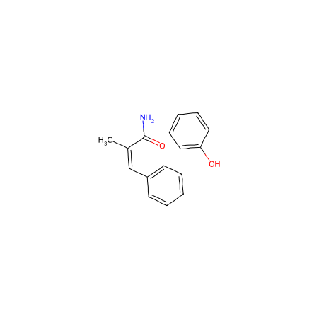 CC(=Cc1ccccc1)C(N)=O.Oc1ccccc1